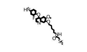 CNc1ccc(Oc2ccnc3cc(OCCCCCNC(=O)CSSC)c(OC)cc23)c(F)c1